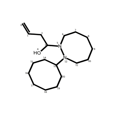 C=CCC(O)N1CCCCCCN1C1CCCCCCC1